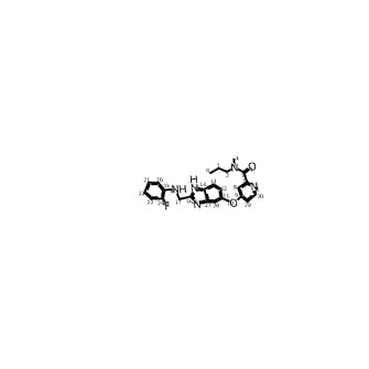 CCCN(C)C(=O)c1cc(Oc2ccc3[nH]c(CNc4ccccc4F)nc3c2)ccn1